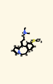 CN(C)CCC=C1c2cc(SC(F)(F)F)ccc2CCn2cccc21